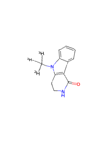 [2H]C([2H])([2H])n1c2c(c3ccccc31)C(=O)NCC2